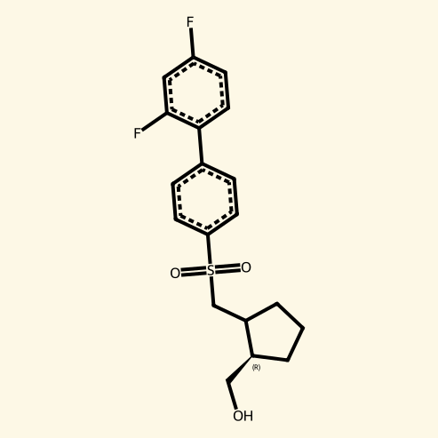 O=S(=O)(CC1CCC[C@H]1CO)c1ccc(-c2ccc(F)cc2F)cc1